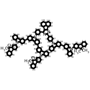 CC1(C)c2ccccc2-c2ccc(-n3c4ccccc4c4cc(-c5ccc6c(c5)c5ccccc5n6-c5ccc(-c6nc(-c7cccc(-n8c9ccc(-c%10ccc%11c(c%10)c%10ccccc%10n%11-c%10ccc%11c(c%10)C(C)(C)c%10ccccc%10-%11)cc9c9cc(-c%10ccc%11c(c%10)c%10ccccc%10n%11-c%10ccc%11c(c%10)C(C)(C)c%10ccccc%10-%11)ccc98)c7)c7c(n6)-c6cccc8cccc-7c68)cc5)ccc43)cc21